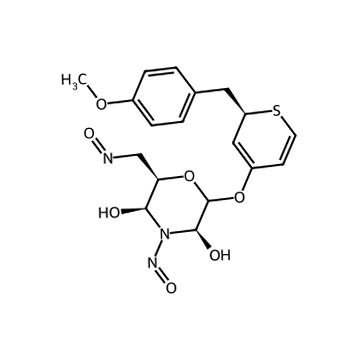 COc1ccc(C[C@@H]2C=C(OC3O[C@H](CN=O)[C@H](O)N(N=O)[C@@H]3O)C=CS2)cc1